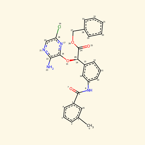 Cc1cccc(C(=O)Nc2cccc([C@@H](Oc3nc(Cl)cnc3N)C(=O)OCc3ccccc3)c2)c1